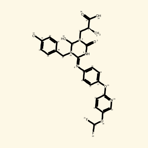 C[C@@H](CN1C(=O)N/C(=N\c2ccc(Oc3ccc(OC(F)F)cn3)cc2)N(Cc2ccc(Cl)cc2)C1O)C(=O)O